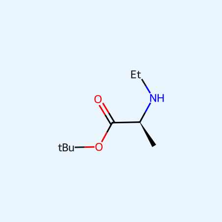 CCN[C@@H](C)C(=O)OC(C)(C)C